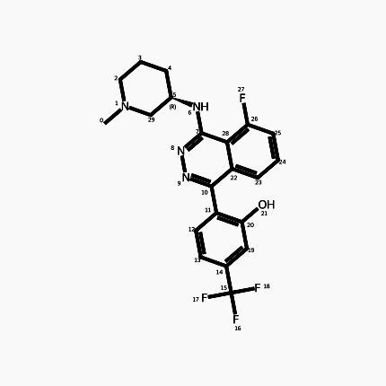 CN1CCC[C@@H](Nc2nnc(-c3ccc(C(F)(F)F)cc3O)c3cccc(F)c23)C1